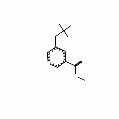 COC(=O)c1cncc(CC(F)(F)F)c1